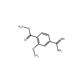 COC(=O)c1ccc(C(=N)N)cc1OC